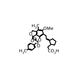 COc1c(C)c2c(c(OS(=O)(=O)c3ccc(C)cc3)c1C/C=C1\CCCC1CC(=O)O)C(=O)OC2